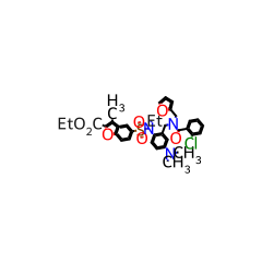 CCOC(=O)c1oc2ccc(S(=O)(=O)N(CC)c3ccc(N(C)C)cc3CN(Cc3ccco3)C(=O)c3ccccc3Cl)cc2c1C